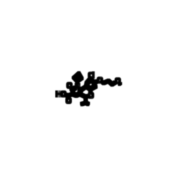 COCCCOc1cc2c(cc1Cl)-c1c(cc(C(=O)O)c(=O)n1C1CCC1)C(C(C)C)O2